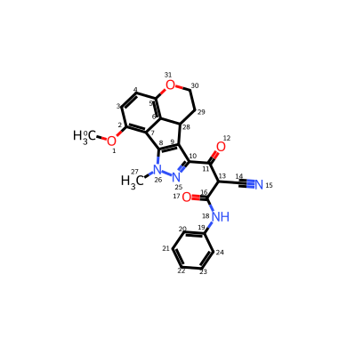 COc1ccc2c3c1-c1c(c(C(=O)C(C#N)C(=O)Nc4ccccc4)nn1C)C3CCO2